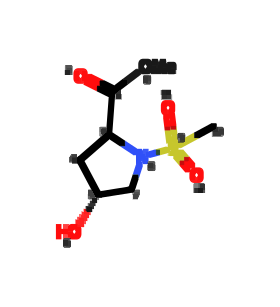 COC(=O)C1C[C@@H](O)CN1S(C)(=O)=O